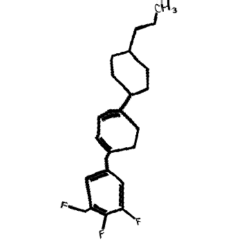 CCCC1CCC(C2=CC=C(c3cc(F)c(F)c(F)c3)CC2)CC1